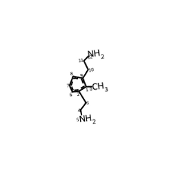 Cc1c(CCN)cccc1CCN